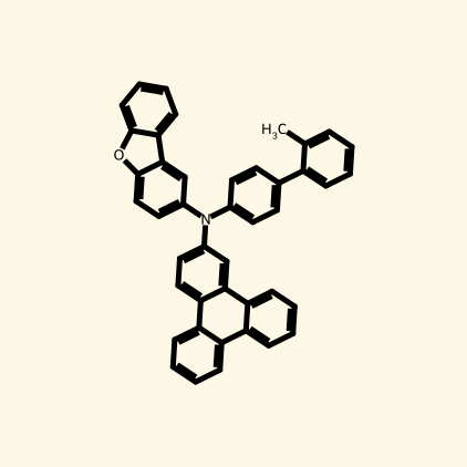 Cc1ccccc1-c1ccc(N(c2ccc3oc4ccccc4c3c2)c2ccc3c4ccccc4c4ccccc4c3c2)cc1